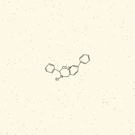 CCN(Cc1ccc(-c2ccccc2)cc1)C(C(=O)O)c1ccccc1